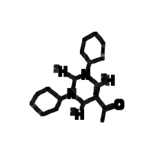 [2H]C1=C(C(C)=O)C([2H])N(C2CCCCC2)C([2H])N1C1CCCCC1